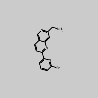 NCc1cc2nc(-c3cccc(Br)n3)ccc2cn1